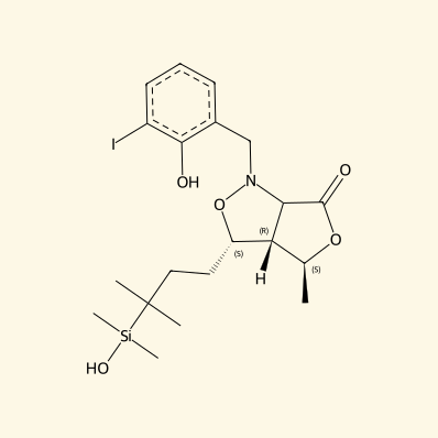 C[C@@H]1OC(=O)C2[C@H]1[C@H](CCC(C)(C)[Si](C)(C)O)ON2Cc1cccc(I)c1O